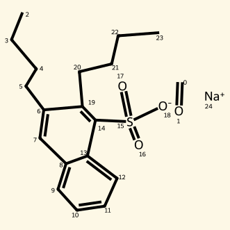 C=O.CCCCc1cc2ccccc2c(S(=O)(=O)[O-])c1CCCC.[Na+]